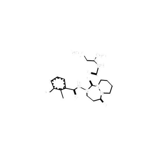 Cc1c(Cl)cccc1C(=O)NN1CCC(=O)N2CCC[C@@H](C(=O)N[C@H](C=O)CC(=O)O)N2C1=O